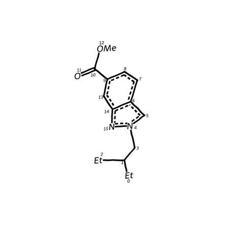 CCC(CC)Cn1cc2ccc(C(=O)OC)cc2n1